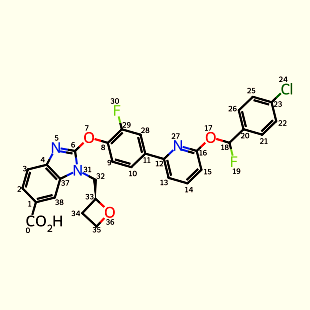 O=C(O)c1ccc2nc(Oc3ccc(-c4cccc(OC(F)c5ccc(Cl)cc5)n4)cc3F)n(C[C@@H]3CCO3)c2c1